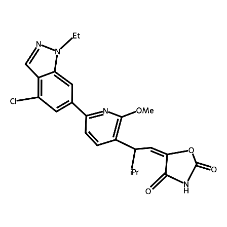 CCn1ncc2c(Cl)cc(-c3ccc(C(C=C4OC(=O)NC4=O)C(C)C)c(OC)n3)cc21